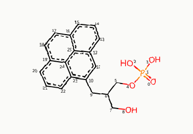 O=P(O)(O)OCC(CO)Cc1cc2cccc3ccc4cccc1c4c32